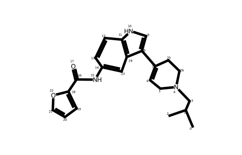 CC(C)CN1CC=C(c2c[nH]c3ccc(NC(=O)c4ccco4)cc23)CC1